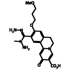 COCCCOc1cc2c(cc1/C(=N/N)N(C)N)-c1cc(=O)c(C(=O)O)cn1CC2